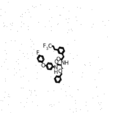 O=C(Cc1cccc(CCC(F)(F)F)c1)N[C@@H](COCc1ccccc1)C(=O)Nc1ccc(Oc2ccc(F)cc2)cc1